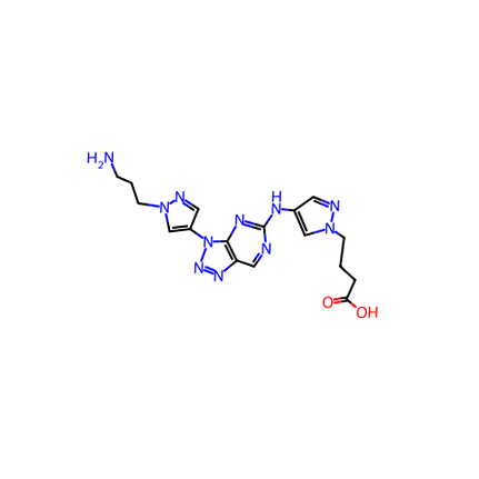 NCCCn1cc(-n2nnc3cnc(Nc4cnn(CCCC(=O)O)c4)nc32)cn1